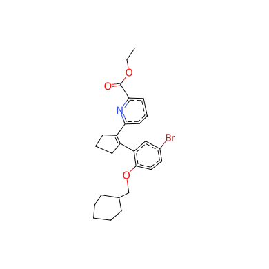 CCOC(=O)c1cccc(C2=C(c3cc(Br)ccc3OCC3CCCCC3)CCC2)n1